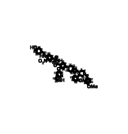 COc1ccc(CN2CCN(C3CC4(CCN(c5ccc(C(=O)NS(=O)(=O)c6ccc(NCC7CCC(C)(O)CC7)c([N+](=O)[O-])c6)c(Oc6cnc7[nH]ccc7c6)c5)CC4)C3)C(c3ccccc3OC)C2)cc1